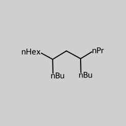 CCCCCCC(CCCC)CC(CCC)CCCC